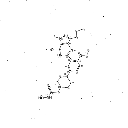 CCCc1nn(C)c2c(=O)[nH]c(-c3cc(N4CCC(CC(=O)NO)CC4)ccc3OCC)nc12